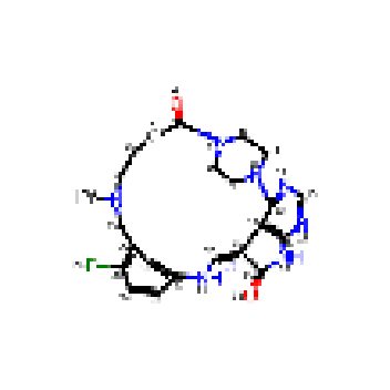 CC(C)N1CCCC(=O)N2CCN(CC2)c2ncnc3c2/C(=C/Nc2ccc(F)c(c2)C1)C(=O)N3